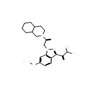 COc1ccc2c(C(=O)C(C)C)nn(CC(=O)N3CCC4CCCCC4C3)c2c1